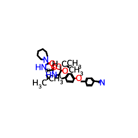 CC(C)C[C@H](NC(=O)N1CCCCCC1)C(=O)N[C@@H](Cc1ccc(OCc2ccc(C#N)cc2)cc1)C(=O)OC(C)(C)C